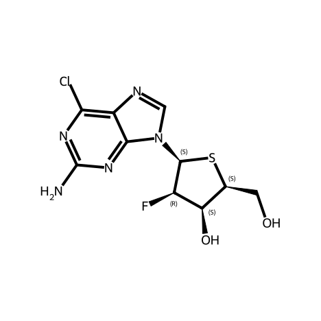 Nc1nc(Cl)c2ncn([C@H]3S[C@@H](CO)[C@@H](O)[C@H]3F)c2n1